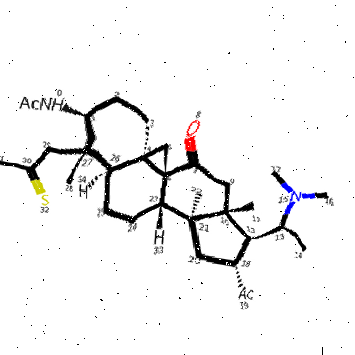 CC(=O)N[C@H]1CC[C@]23C[C@]24C(=O)C[C@]2(C)[C@@H]([C@H](C)N(C)C)[C@H](C(C)=O)C[C@@]2(C)[C@@H]4CC[C@H]3[C@]1(C)CC(C)=S